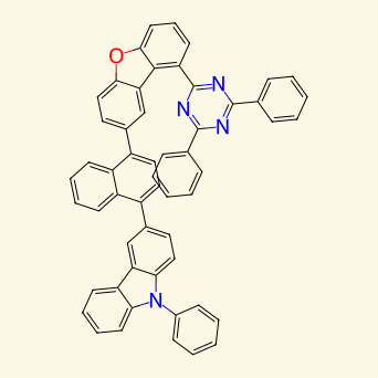 c1ccc(-c2nc(-c3ccccc3)nc(-c3cccc4oc5ccc(-c6ccc(-c7ccc8c(c7)c7ccccc7n8-c7ccccc7)c7ccccc67)cc5c34)n2)cc1